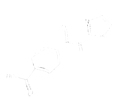 O=C(O)c1ccc(C(=O)Nc2nccs2)cc1